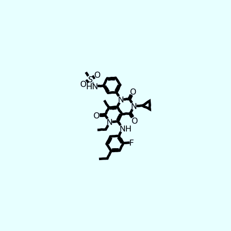 CCc1ccc(Nc2c3c(=O)n(C4CC4)c(=O)n(-c4cccc(NS(C)(=O)=O)c4)c3c(C)c(=O)n2CC)c(F)c1